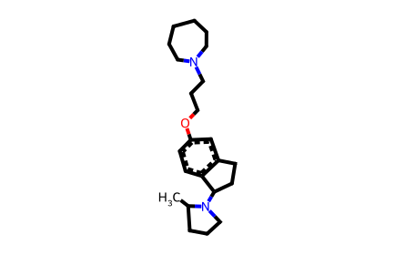 CC1CCCN1C1CCc2cc(OCCCN3CCCCCC3)ccc21